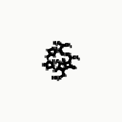 C[C@@H](O)[C@H]1C(=O)N2C(OC(=O)O)=C(S[C@@H]3CN[C@H](CC4CN[C@H](C(=O)N(C)C)C4)C3)[C@H](C)[C@H]12